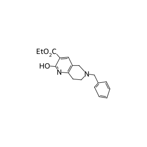 CCOC(=O)c1cc2c(nc1O)CCN(Cc1ccccc1)C2